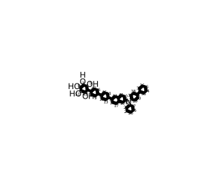 Oc1c(O)c(O)c(-c2ccc(-c3ccc(-c4ccc5cc(N(c6ccccc6)c6ccc(-c7ccccc7)cc6)ccc5c4)cc3)cc2)c(O)c1O